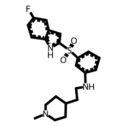 CN1CCC(CCNc2cccc(S(=O)(=O)c3cc4cc(F)ccc4[nH]3)c2)CC1